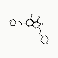 O=c1[nH]c(CSC2CCOCC2)nc2cc(OC[C@H]3CCOC3)cc(F)c12